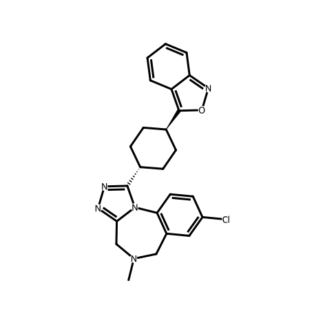 CN1Cc2cc(Cl)ccc2-n2c(nnc2[C@H]2CC[C@H](c3onc4ccccc43)CC2)C1